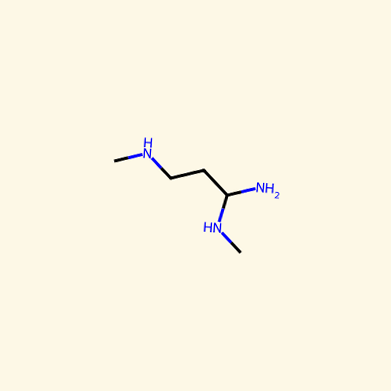 CNCCC(N)NC